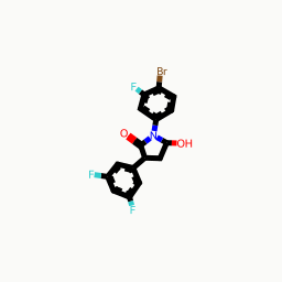 O=C1C(c2cc(F)cc(F)c2)CC(O)N1c1ccc(Br)c(F)c1